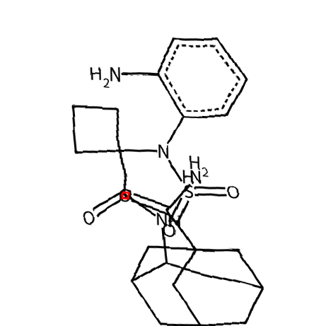 NC(=O)C12CC3CC(C1)C(NC(=O)C1(N(c4ccccc4N)[SH](=O)=O)CCC1)C(C3)C2